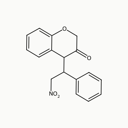 O=C1COc2ccccc2C1C(C[N+](=O)[O-])c1ccccc1